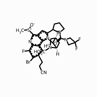 C[S+]([O-])c1nc2c(F)c(Br)c(CCC#N)cc2c2c1cc(C1CCCN1C(=O)N1CC(F)(F)C1)n2[C@H]1[C@@H]2C[C@H]1N(C(=O)O)C2